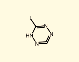 IC1=NN=C=NN1